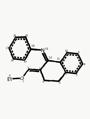 CCO/C=C1\CCc2ccccc2\C1=N\c1ccccc1